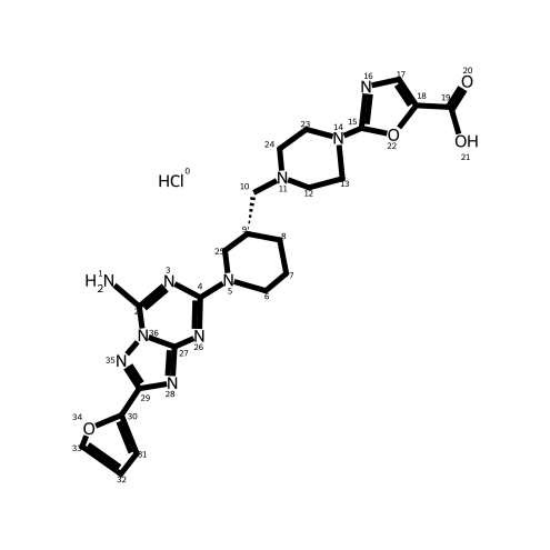 Cl.Nc1nc(N2CCC[C@@H](CN3CCN(c4ncc(C(=O)O)o4)CC3)C2)nc2nc(-c3ccco3)nn12